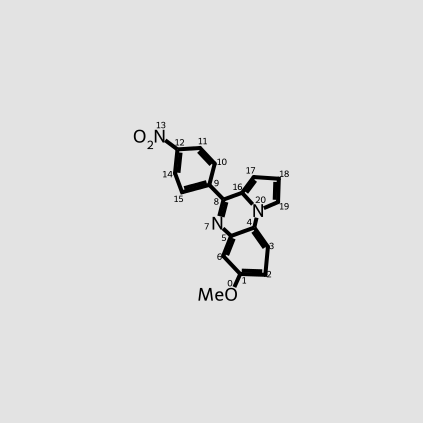 COc1ccc2c(c1)nc(-c1ccc([N+](=O)[O-])cc1)c1cccn12